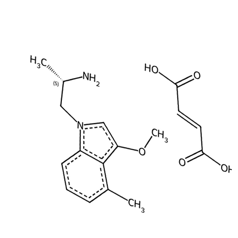 COc1cn(C[C@H](C)N)c2cccc(C)c12.O=C(O)C=CC(=O)O